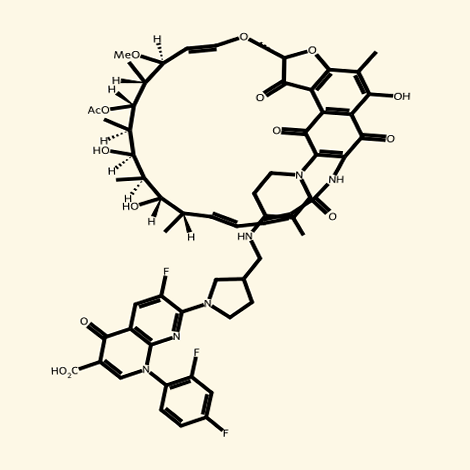 CO[C@H]1/C=C/O[C@@]2(C)Oc3c(C)c(O)c4c(c3C2=O)C(=O)C(N2CCC(NCC3CCN(c5nc6c(cc5F)c(=O)c(C(=O)O)cn6-c5ccc(F)cc5F)C3)CC2)=C(NC(=O)/C(C)=C\C=C\[C@H](C)[C@H](O)[C@@H](C)[C@@H](O)[C@@H](C)[C@H](OC(C)=O)[C@@H]1C)C4=O